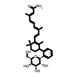 CC(C=CC1=C(C)C(c2ccccc2[C@@H]2O[C@H](CO)[C@H](O)[C@H](O)[C@H]2O)CCC1(C)C)=CC=CC(C)=CC(N)=O